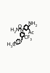 CC(=O)Cc1cc(N(C(N)=O)c2ccc(CN3CCN(C)CC3)c(C(F)(F)F)c2)ccc1CN